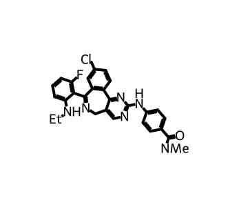 CCNc1cccc(F)c1C1=NCc2cnc(Nc3ccc(C(=O)NC)cc3)nc2-c2ccc(Cl)cc21